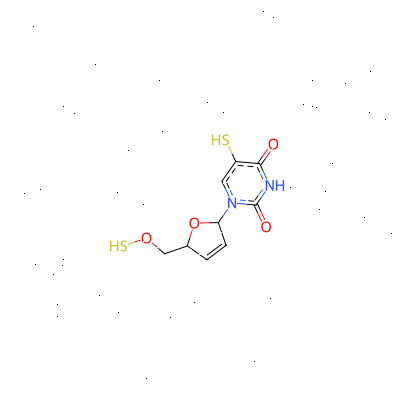 O=c1[nH]c(=O)n(C2C=CC(COS)O2)cc1S